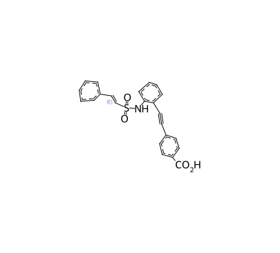 O=C(O)c1ccc(C#Cc2ccccc2NS(=O)(=O)/C=C/c2ccccc2)cc1